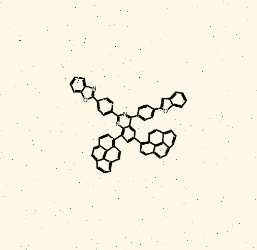 c1ccc2oc(-c3ccc(-c4nc(-c5ccc(-c6nc7ccccc7o6)cc5)nc5c(-c6ccc7ccc8cccc9ccc6c7c89)cc(-c6ccc7ccc8cccc9ccc6c7c89)cc45)cc3)cc2c1